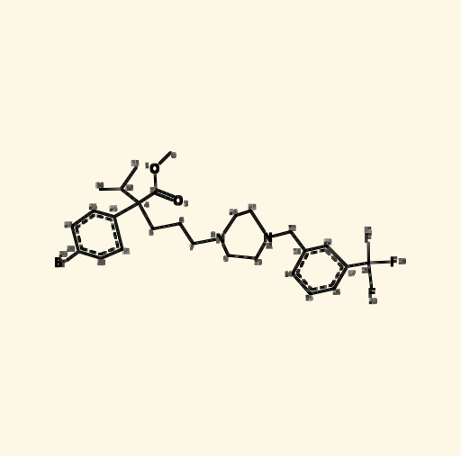 COC(=O)C(CCCN1CCN(Cc2cccc(C(F)(F)F)c2)CC1)(c1ccc(Br)cc1)C(C)C